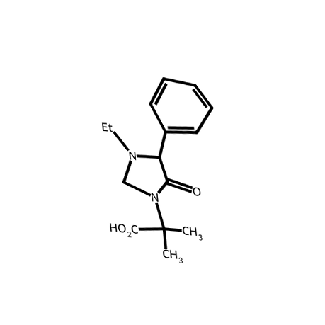 CCN1CN(C(C)(C)C(=O)O)C(=O)C1c1ccccc1